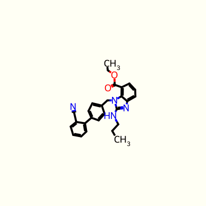 CCCNc1nc2cccc(C(=O)OCC)c2n1Cc1ccc(-c2ccccc2C#N)cc1